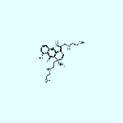 COc1cccc2c1c(=O)c1c3c(c(CNCCN)[nH]n32)C=CC1(N)CCNCCO